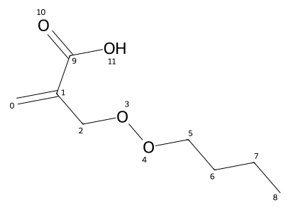 C=C(COOCCCC)C(=O)O